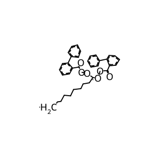 [CH2]CCCCCCCC[C](OOC(=O)c1ccccc1-c1ccccc1)OOC(=O)c1ccccc1-c1ccccc1